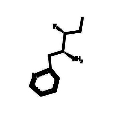 CC[C@@H](F)[C@H](N)Cc1ccccn1